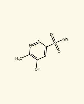 CCCS(=O)(=O)c1cc(O)c(C)nn1